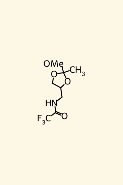 COC1(C)OCC(CNC(=O)C(F)(F)F)O1